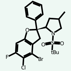 CC1CC([C@@]2(c3ccccc3)Cc3c(cc(F)c(Cl)c3Br)O2)N(S(=O)(=O)C(C)(C)C)C1